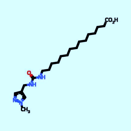 Cn1cc(CNC(=O)NCCCCCCCCCCCCCCC(=O)O)cn1